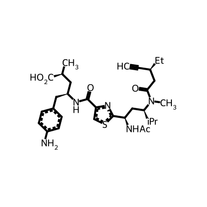 C#C[C@@H](CC)CC(=O)N(C)[C@H](C[C@@H](NC(C)=O)c1nc(C(=O)N[C@@H](Cc2ccc(N)cc2)C[C@H](C)C(=O)O)cs1)C(C)C